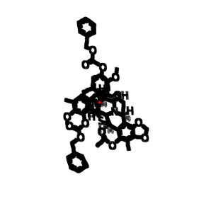 COc1cc2c(cc1OC(=O)OCc1ccccc1)CCN[C@]21CS[C@@H]2c3c(OC(C)=O)c(C)c4c(c3[C@H](COC1=O)N1C2[C@H]2c3c(cc(C)c(OC)c3OC(=O)OCc3ccccc3)C[C@@H]([C@@H]1O)N2C)OCO4